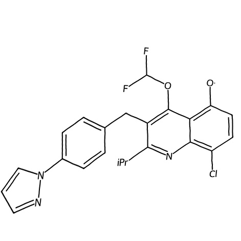 CC(C)c1nc2c(Cl)ccc([O])c2c(OC(F)F)c1Cc1ccc(-n2cccn2)cc1